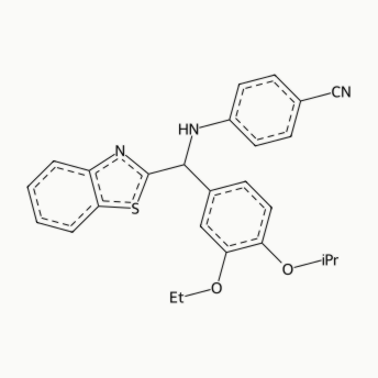 CCOc1cc(C(Nc2ccc(C#N)cc2)c2nc3ccccc3s2)ccc1OC(C)C